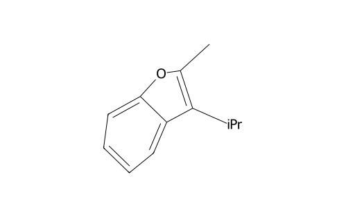 Cc1oc2ccccc2c1C(C)C